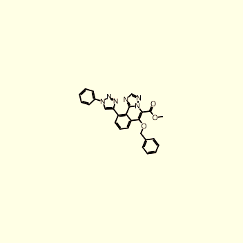 COC(=O)c1c(OCc2ccccc2)c2cccc(-c3cn(-c4ccccc4)nn3)c2c2ncnn12